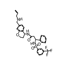 C=CCNCc1ccc2c(c1)OCCC2NC(=O)CC(NS(=O)(=O)c1cccc(C(F)(F)F)c1)c1ccccc1